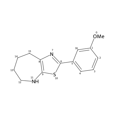 COc1cccc(-c2nc3c(s2)NCCCC3)c1